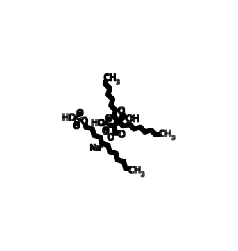 CCCCCCCCC(CCCCCCCC)(C(=O)O)C(C(=O)[O-])S(=O)(=O)O.CCCCCCCCCCCCOS(=O)(=O)O.[Na+]